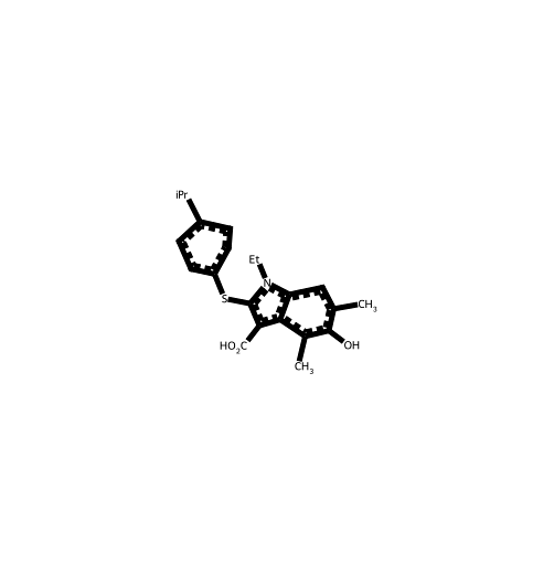 CCn1c(Sc2ccc(C(C)C)cc2)c(C(=O)O)c2c(C)c(O)c(C)cc21